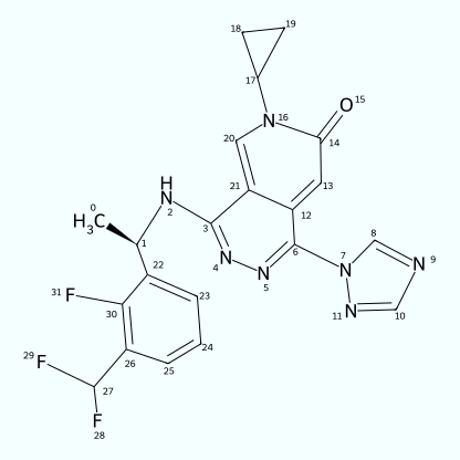 C[C@@H](Nc1nnc(-n2cncn2)c2cc(=O)n(C3CC3)cc12)c1cccc(C(F)F)c1F